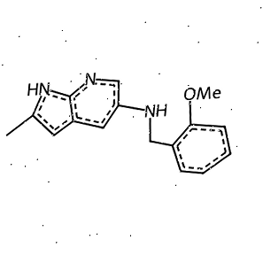 COc1ccccc1CNc1cnc2[nH]c(C)cc2c1